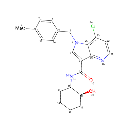 COc1ccc(Cn2cc(C(=O)N[C@H]3CCCC[C@@H]3O)c3nccc(Cl)c32)cc1